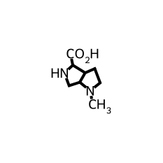 CN1CCC2C(C(=O)O)NCC21